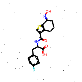 O=C(NC(Cc1ccc(F)cc1)C(=O)O)c1csc2c1CCCC2=NO